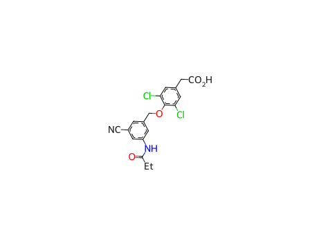 CCC(=O)Nc1cc(C#N)cc(COc2c(Cl)cc(CC(=O)O)cc2Cl)c1